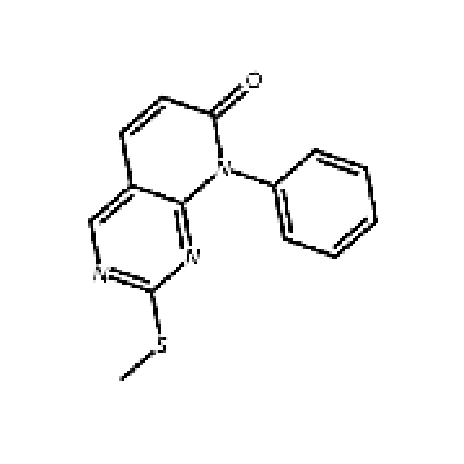 CSc1ncc2ccc(=O)n(-c3ccccc3)c2n1